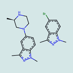 Cc1nn(C)c2ccc(Br)cc12.Cc1nn(C)c2ccc(N3CCN[C@H](C)C3)cc12